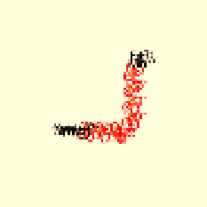 O.O.O.O=P([O-])([O-])[O-].O=P([O-])([O-])[O-].O=P([O-])([O-])[O-].O=P([O-])([O-])[O-].O=P([O-])([O-])[O-].O=P([O-])([O-])[O-].O=P([O-])([O-])[O-].[Fe+3].[Fe+3].[Fe+3].[Mg+2].[Mg+2].[Mg+2].[Mn+2].[Mn+2].[Mn+2]